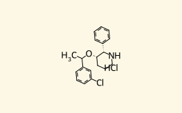 CC(O[C@H]1CCCN[C@H]1c1ccccc1)c1cccc(Cl)c1.Cl